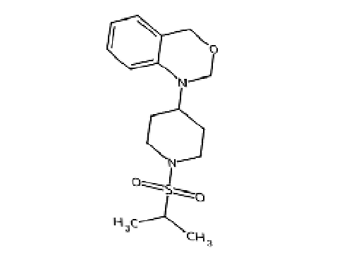 CC(C)S(=O)(=O)N1CCC(N2COCc3ccccc32)CC1